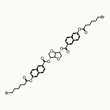 O=C(CCCCCBr)Oc1ccc2cc(C(=O)O[C@@H]3COC4C3OC[C@H]4OC(=O)c3ccc4cc(OC(=O)CCCCCBr)ccc4c3)ccc2c1